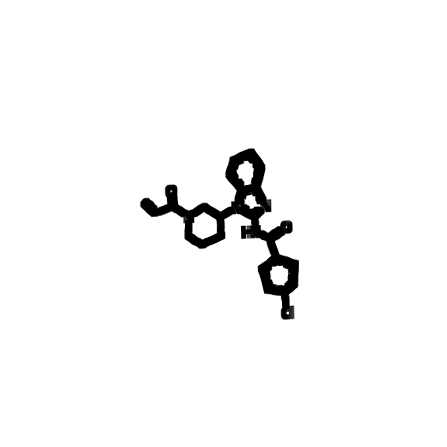 C=CC(=O)N1CCCC(n2c(NC(=O)c3ccc(Cl)cc3)nc3ccccc32)C1